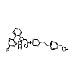 COCc1ccc(CCC2CCN(C(=O)COc3ccccc3-c3ccc(F)cc3O)CC2)cc1